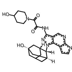 O=C(Nc1nn([C@H]2[C@@H]3CC4C[C@H]2C[C@@](O)(C4)C3)c2c1cnc1[nH]ccc12)C(=O)N1CCC(O)CC1